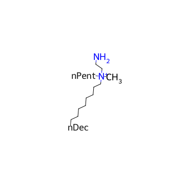 CCCCCCCCCCCCCCCCCC[N+](C)(CCN)CCCCC